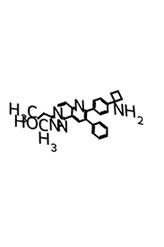 CC(C)(O)Cc1nnc2c3cc(-c4ccccc4)c(-c4ccc(C5(N)CCC5)cc4)nc3ccn12